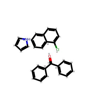 Clc1cccc2ccccc12.O=C(c1ccccc1)c1ccccc1.c1cc[nH]c1